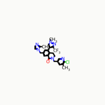 Cc1cc(CN2CCc3c(cc(Cn4ccnc4C)cc3-c3cn(C)nc3C(F)(F)F)C2=O)cnc1Cl